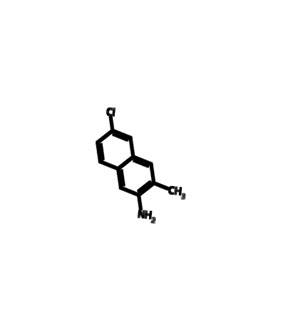 Cc1cc2cc(Cl)ccc2cc1N